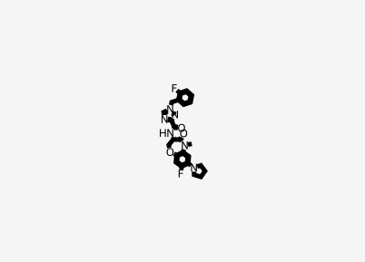 CN1C(=O)[C@@H](NC(=O)c2ncn(Cc3ccccc3F)n2)COc2cc(F)c(N3CCCC3)cc21